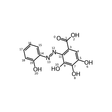 O=C(O)c1cc(O)c(O)c(O)c1/N=N/c1ccccc1O